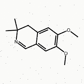 COc1cc2c(cc1OC)CC(C)(C)N=C2